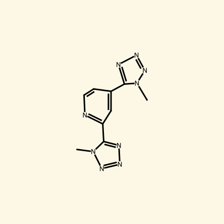 Cn1nnnc1-c1ccnc(-c2nnnn2C)c1